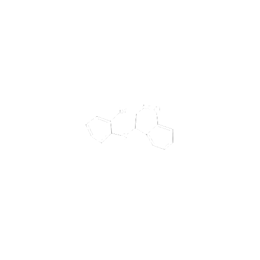 CC(=O)CC(Sc1ccccc1Br)c1ccccc1Cl